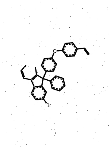 C=Cc1ccc(Oc2ccc(C3(c4ccccc4)C(C)=C(/C=C\C)c4ccc(Br)cc43)cc2)cc1